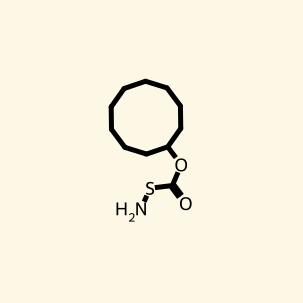 NSC(=O)OC1CCCCCCCCC1